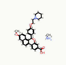 CN.COc1ccc2c3c(ccc2c1)-c1ccc(C(=O)O)cc1OC3c1ccc(OCCN2CCCCC2)cc1